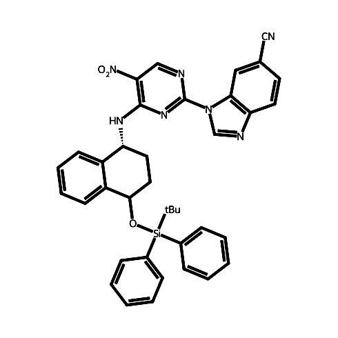 CC(C)(C)[Si](OC1CC[C@@H](Nc2nc(-n3cnc4ccc(C#N)cc43)ncc2[N+](=O)[O-])c2ccccc21)(c1ccccc1)c1ccccc1